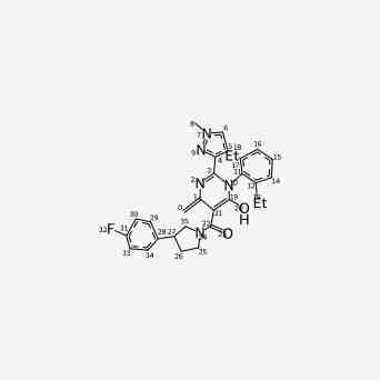 C=C1N=C(c2ccn(C)n2)N(c2c(CC)cccc2CC)C(O)=C1C(=O)N1CCC(c2ccc(F)cc2)C1